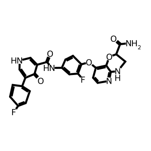 NC(=O)C1CNc2nccc(Oc3ccc(NC(=O)c4c[nH]cc(-c5ccc(F)cc5)c4=O)cc3F)c2O1